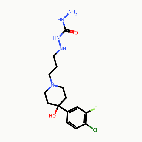 NNC(=O)NNCCCN1CCC(O)(c2ccc(Cl)c(F)c2)CC1